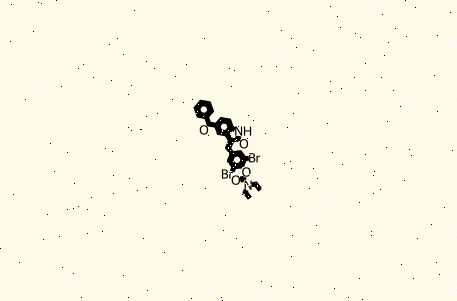 CCN(CC)C(=O)Oc1c(Br)cc(C=C2C(=O)Nc3ccc(C(=O)c4ccccc4)cc32)cc1Br